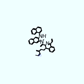 C=CC1=NC(C(=C)N(C)c2cc3ccccc3cc2Nc2cccc3ccccc23)C(CCC(=C)/C=C\C)c2ccccc21